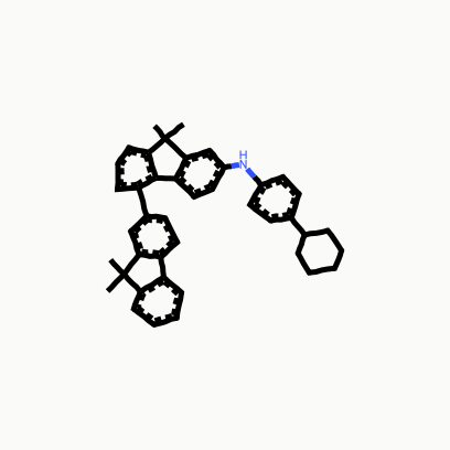 CC1(C)c2ccccc2-c2ccc(-c3cccc4c3-c3ccc(Nc5ccc(C6CCCCC6)cc5)cc3C4(C)C)cc21